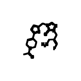 CC(=O)N1CC=C(c2ccc(Cn3cnn(C/C(=C/F)CN)c3=O)s2)CC1